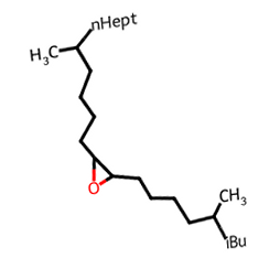 CCCCCCCC(C)CCCCC1OC1CCCCC(C)C(C)CC